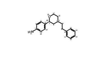 Nc1ccc([C@@H]2CN(CCc3ccccc3)CCO2)cn1